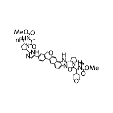 C#C[C@H]1CC[C@@H](c2nc3ccc4cc5c(cc4c3[nH]2)OCc2cc(-c3cnc(C4CC[C@H](CCC)N4C(=O)[C@H](C)NC(=O)OC)[nH]3)ccc2-5)N1C(=O)[C@@H](NC(=O)OC)C1CCOCC1